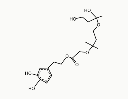 CC(C)(CCOC(C)(O)CCO)OCC(=O)OCCc1ccc(O)c(O)c1